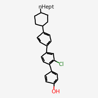 CCCCCCCC1CCC(c2ccc(-c3ccc(-c4ccc(O)cc4)c(Cl)c3)cc2)CC1